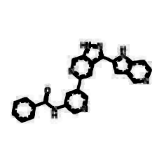 O=C(Nc1cncc(-c2cc3c(-c4cc5cnccc5[nH]4)n[nH]c3cn2)c1)c1ccccc1